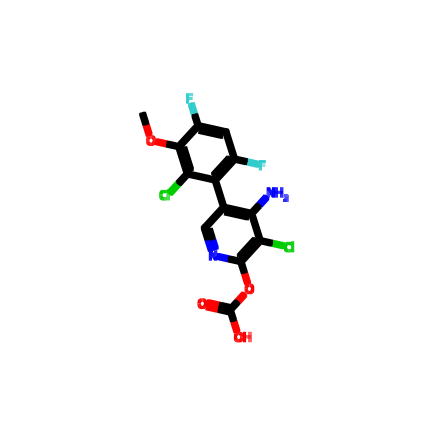 COc1c(F)cc(F)c(-c2cnc(OC(=O)O)c(Cl)c2N)c1Cl